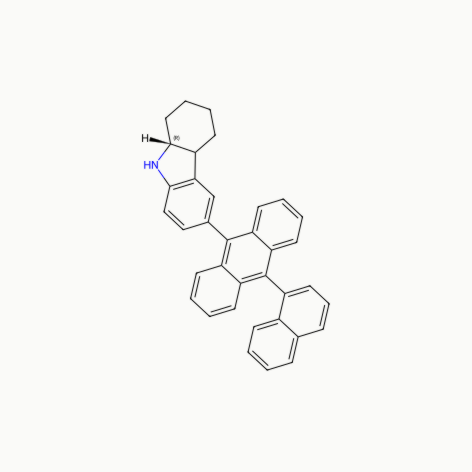 c1ccc2c(-c3c4ccccc4c(-c4ccc5c(c4)C4CCCC[C@H]4N5)c4ccccc34)cccc2c1